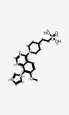 COc1ccc2c(N3CCC(CCP(=O)(O)O)CC3)ncnc2c1-n1ccnc1